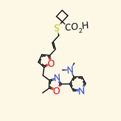 Cc1oc(-c2cnccc2N(C)C)nc1Cc1ccc(/C=C/CSC2(C(=O)O)CCC2)o1